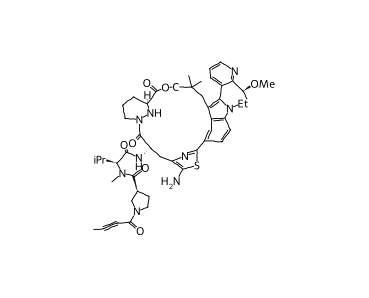 CC#CC(=O)N1CC[C@H](C(=O)N(C)[C@H](C(=O)N[C@H]2Cc3nc(sc3N)-c3ccc4c(c3)c(c(-c3cccnc3[C@H](C)OC)n4CC)CC(C)(C)COC(=O)[C@@H]3CCCN(N3)C2=O)C(C)C)C1